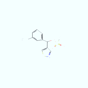 CS(=O)(=O)OC(c1cnsc1)c1cccc(C(F)(F)F)c1